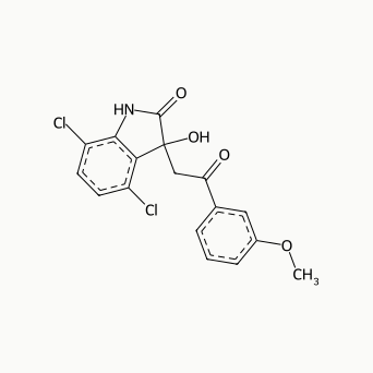 COc1cccc(C(=O)CC2(O)C(=O)Nc3c(Cl)ccc(Cl)c32)c1